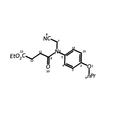 CCCOc1ccc(N(CC#N)C(=O)CCC(=O)OCC)cc1